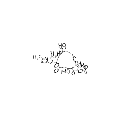 C/C(=C\c1csc(C)n1)[C@@H]1C[C@@H]2O[C@]2(CO)CCC[C@@H]2C=C(C(=O)[C@H](C)[C@H]2N=O)[C@@H](O)CC(=O)O1